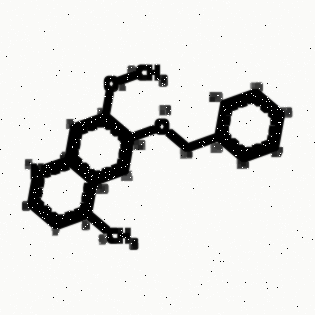 COc1cc2nccc(C)c2cc1OCc1ccccc1